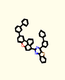 c1ccc(-c2cccc(-c3ccc4c(c3)-c3cccc5c(-c6nc(-c7cccc(-c8ccccc8)c7)c7sc8ccccc8c7n6)ccc(c35)O4)c2)cc1